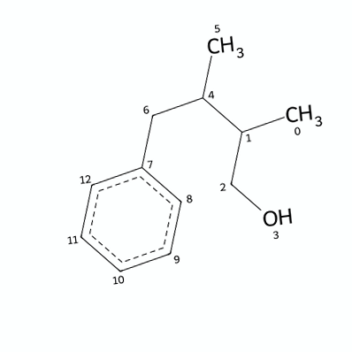 CC(CO)C(C)Cc1ccccc1